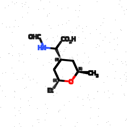 CC[C@@H]1C[C@H](C(NC=O)C(=O)O)C[C@@H](C)O1